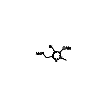 CNCc1nn(C)c(OC)c1Br